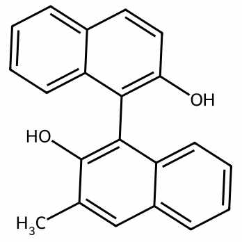 Cc1cc2ccccc2c(-c2c(O)ccc3ccccc23)c1O